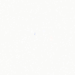 CC(=O)/C=C/CN1CC2(CCCCC2)C1